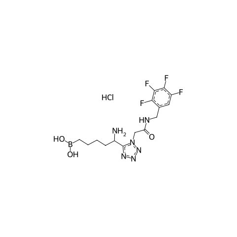 Cl.NC(CCCCB(O)O)c1nnnn1CC(=O)NCc1cc(F)c(F)c(F)c1F